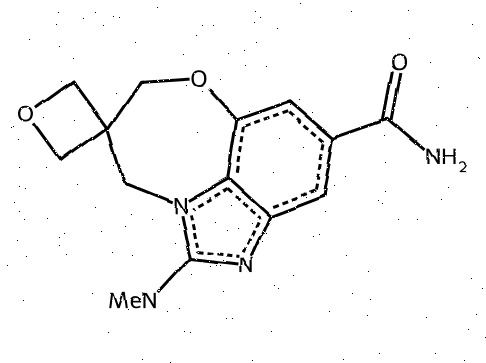 CNc1nc2cc(C(N)=O)cc3c2n1CC1(COC1)CO3